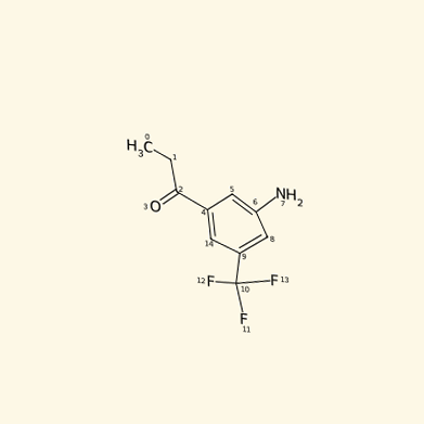 CCC(=O)c1cc(N)cc(C(F)(F)F)c1